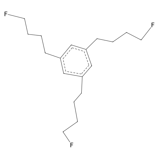 FCCCCc1cc(CCCCF)cc(CCCCF)c1